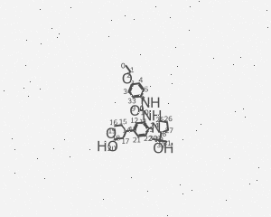 CCOc1ccc(NC(=O)Nc2cc([C@H](CC)CC(=O)O)ccc2N2CCCC2C(C)(C)O)cc1